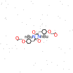 CCCCN1C(=O)[C@H](Cc2ccc(OCC3CO3)cc2)N(CCCC)C(=O)[C@H]1Cc1ccc(OCC2CO2)cc1